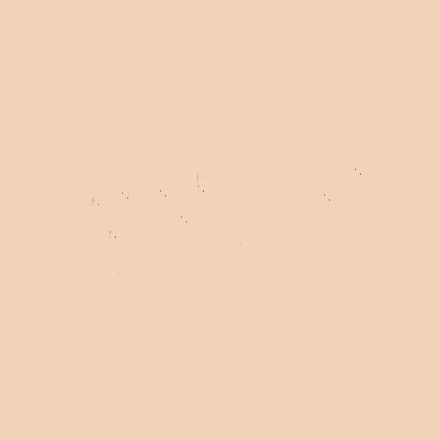 COc1cc(Nc2ncc3c(=O)n(-c4ccccc4Cl)c4nccn4c3n2)ccc1OCCN1CCN(C)CC1